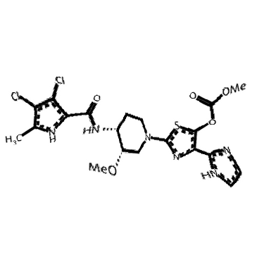 COC(=O)Oc1sc(N2CC[C@@H](NC(=O)c3[nH]c(C)c(Cl)c3Cl)[C@@H](OC)C2)nc1-c1ncc[nH]1